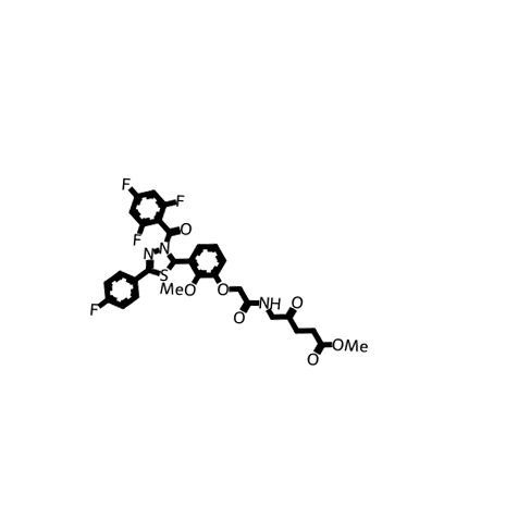 COC(=O)CCC(=O)CNC(=O)COc1cccc(C2SC(c3ccc(F)cc3)=NN2C(=O)c2c(F)cc(F)cc2F)c1OC